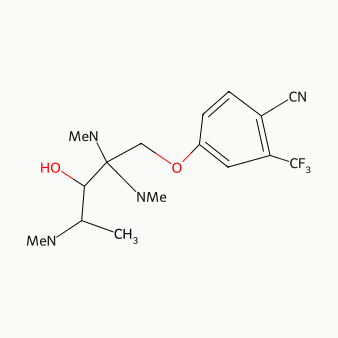 CNC(C)C(O)C(COc1ccc(C#N)c(C(F)(F)F)c1)(NC)NC